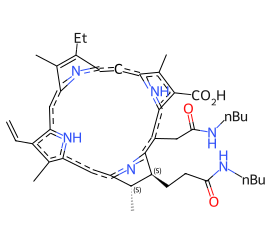 C=Cc1c(C)c2cc3nc(c(CC(=O)NCCCC)c4[nH]c(cc5nc(cc1[nH]2)C(C)=C5CC)c(C)c4C(=O)O)[C@@H](CCC(=O)NCCCC)[C@@H]3C